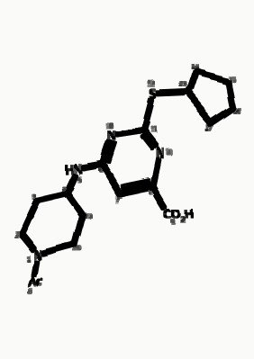 CC(=O)N1CCC(Nc2cc(C(=O)O)nc(SC3CCCC3)n2)CC1